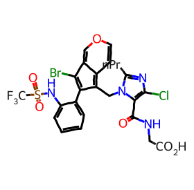 CCCc1nc(Cl)c(C(=O)NCC(=O)O)n1Cc1c2ccocc-2c(Br)c1-c1ccccc1NS(=O)(=O)C(F)(F)F